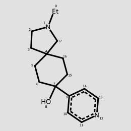 CCN1CCC2(CCC(O)(c3ccncc3)CC2)C1